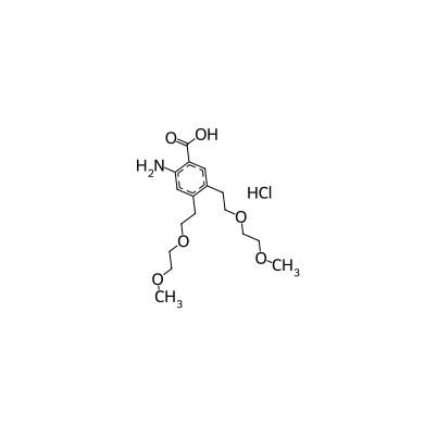 COCCOCCc1cc(N)c(C(=O)O)cc1CCOCCOC.Cl